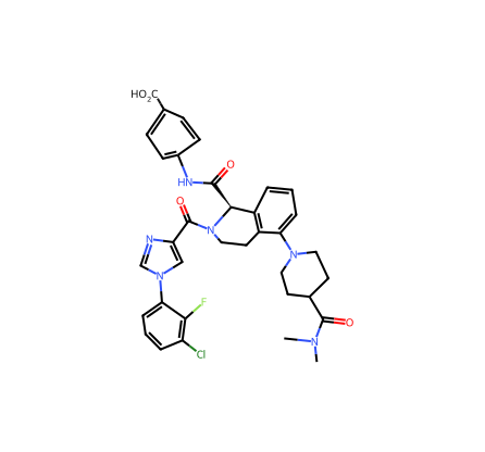 CN(C)C(=O)C1CCN(c2cccc3c2CCN(C(=O)c2cn(-c4cccc(Cl)c4F)cn2)[C@H]3C(=O)Nc2ccc(C(=O)O)cc2)CC1